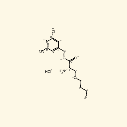 Cl.N[C@@H](COCCCF)C(=O)OCc1cc(Cl)nc(Cl)c1